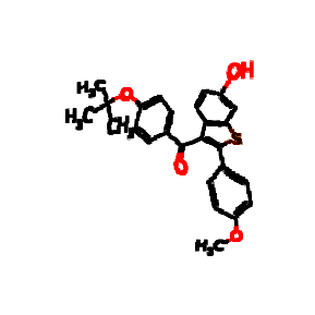 COc1ccc(-c2sc3cc(O)ccc3c2C(=O)c2ccc(OC(C)(C)C)cc2)cc1